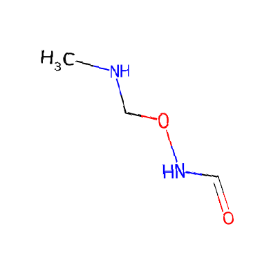 CNCONC=O